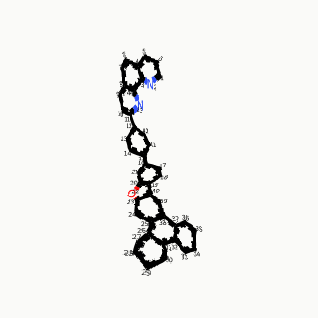 c1cnc2c(c1)ccc1ccc(-c3ccc(-c4ccc5c(c4)oc4cc6c7ccccc7c7ccccc7c6cc45)cc3)nc12